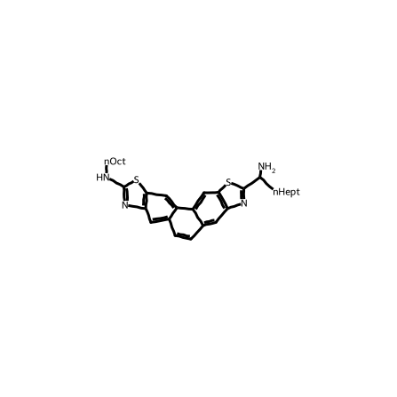 CCCCCCCCNc1nc2cc3ccc4cc5nc(C(N)CCCCCCC)sc5cc4c3cc2s1